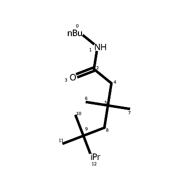 CCCCNC(=O)CC(C)(C)CC(C)(C)C(C)C